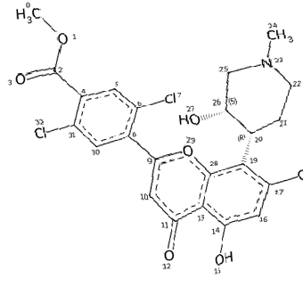 COC(=O)c1cc(Cl)c(-c2cc(=O)c3c(O)cc(O)c([C@H]4CCN(C)C[C@H]4O)c3o2)cc1Cl